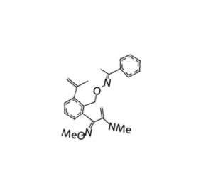 C=C(NC)/C(=N/OC)c1cccc(C(=C)C)c1CO/N=C(\C)c1ccccc1